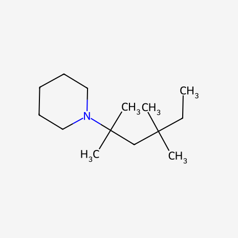 CCC(C)(C)CC(C)(C)N1CCCCC1